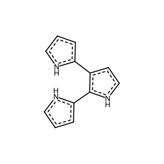 c1c[nH]c(-c2cc[nH]c2-c2ccc[nH]2)c1